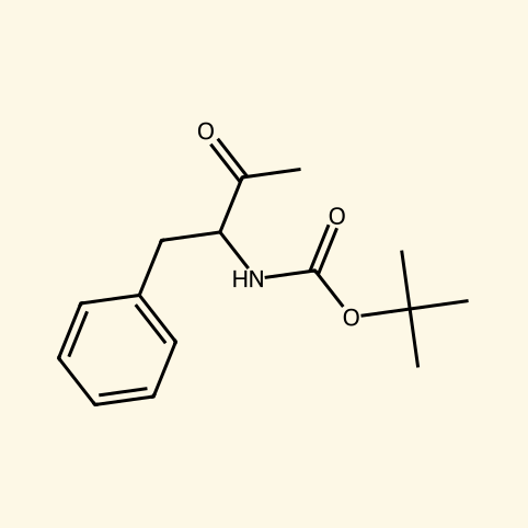 CC(=O)C(Cc1ccccc1)NC(=O)OC(C)(C)C